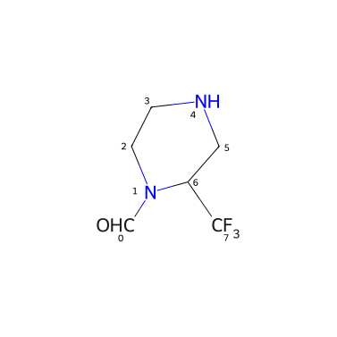 O=CN1CCNCC1C(F)(F)F